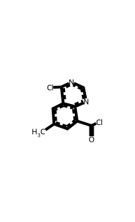 Cc1cc(C(=O)Cl)c2ncnc(Cl)c2c1